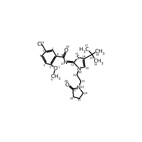 COc1ccc(Cl)cc1C(=O)/N=c1\sc(C(C)(C)C)cn1CCN1CCCC1=O